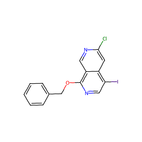 Clc1cc2c(I)cnc(OCc3ccccc3)c2cn1